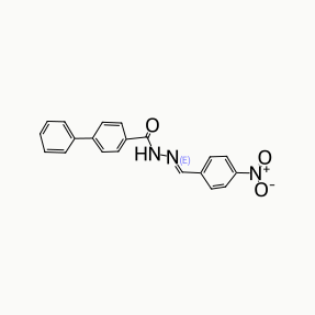 O=C(N/N=C/c1ccc([N+](=O)[O-])cc1)c1ccc(-c2ccccc2)cc1